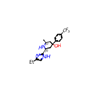 CCc1c[nH]c([C@@H]2CC(O)(c3ccc(C(F)(F)F)cc3)C[C@H](C)N2)n1